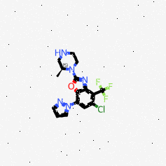 C[C@H]1CNCCN1c1nc2c(C(F)(F)F)c(Cl)cc(-n3cccn3)c2o1